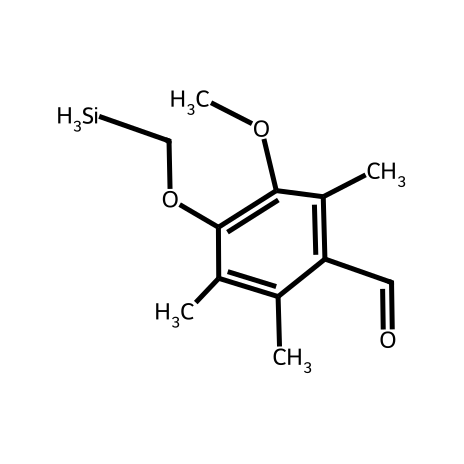 COc1c(C)c(C=O)c(C)c(C)c1OC[SiH3]